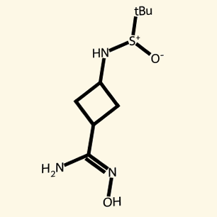 CC(C)(C)[S+]([O-])NC1CC(/C(N)=N/O)C1